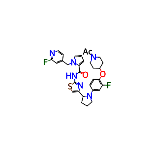 CC(=O)N1CCC(Oc2ccc(N3CCCC3c3csc(NC(=O)c4cccn4Cc4ccnc(F)c4)n3)cc2F)CC1